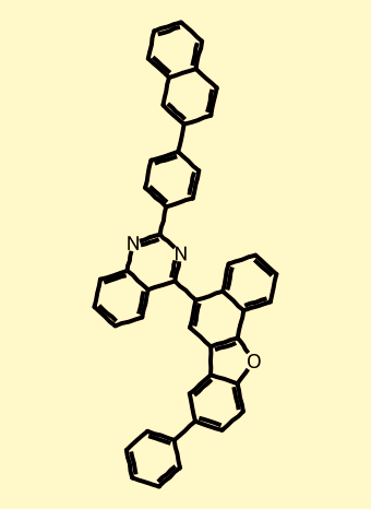 c1ccc(-c2ccc3oc4c5ccccc5c(-c5nc(-c6ccc(-c7ccc8ccccc8c7)cc6)nc6ccccc56)cc4c3c2)cc1